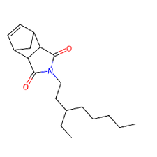 CCCCCC(CC)CCN1C(=O)C2C3C=CC(C3)C2C1=O